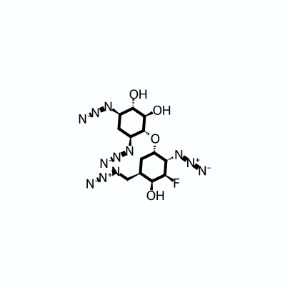 [N-]=[N+]=NC[C@H]1C[C@H](O[C@H]2[C@H](O)[C@@H](O)[C@H](N=[N+]=[N-])C[C@@H]2N=[N+]=[N-])[C@H](N=[N+]=[N-])[C@@H](F)[C@H]1O